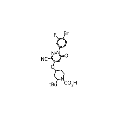 CC(C)(C)C1CC(Oc2cc(=O)n(-c3ccc(Br)c(F)c3)nc2C#N)CCN1C(=O)O